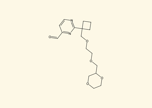 O=Cc1ccnc(C2(COCCOCC3COCCO3)CCC2)n1